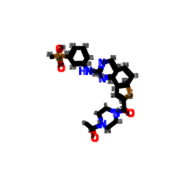 CC(=O)N1CCN(C(=O)c2cc3c(ccc4cnc(Nc5cccc(S(C)(=O)=O)c5)nc43)s2)CC1